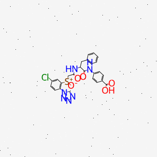 O=C(C[S+]([O-])c1cc(Cl)ccc1-n1cnnn1)NC(Cc1ccccc1)C(=O)Nc1ccc(C(=O)O)cc1